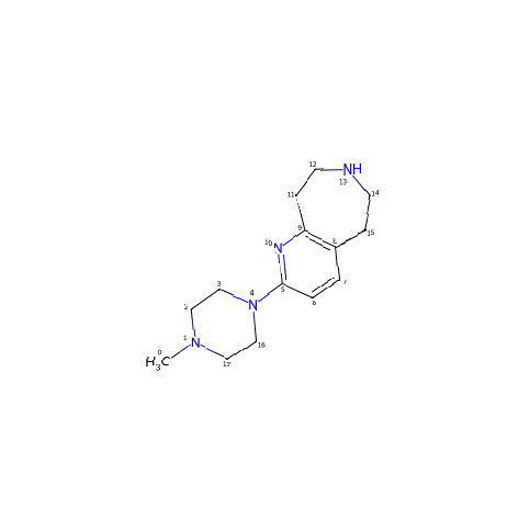 CN1CCN(c2ccc3c(n2)CCNCC3)CC1